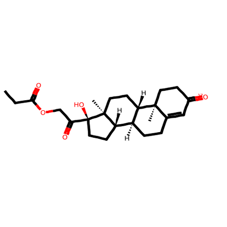 CCC(=O)OCC(=O)[C@@]1(O)CC[C@H]2[C@@H]3CCC4=CC(=[17O])CC[C@]4(C)[C@H]3CC[C@@]21C